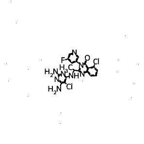 CC(Nc1nc(N)nc(N)c1Cl)c1nc2cccc(Cl)c2c(=O)n1-c1cncc(F)c1